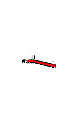 CC(C)c1cc(CCCC(=O)NCc2ccc(N=Nc3ccc(C(=O)NCCNC(=O)CCOCCOCCOCCOCCOCCOCCOCCOCCOCCOCCOCCOCCOCCOCCOCCOCCOCCOCCOCCOCCOCCOCCOCCOCCNC(=O)CCN4C(=O)C=CC4=O)cc3)cc2)cc(C(C)C)c1O